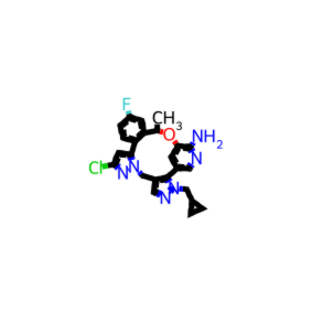 CC1Oc2cc(cnc2N)-c2c(cnn2CC2CC2)Cn2nc(Cl)cc2-c2ccc(F)cc21